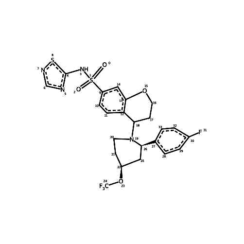 O=S(=O)(Nc1ncns1)c1ccc2c(c1)OCCC2N1CC[C@H](OC(F)(F)F)C[C@@H]1c1ccc(F)cc1